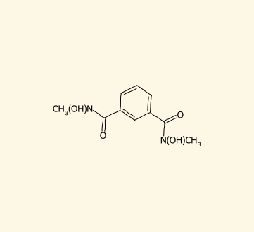 CN(O)C(=O)c1cccc(C(=O)N(C)O)c1